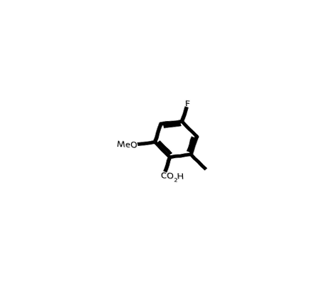 COc1cc(F)cc(C)c1C(=O)O